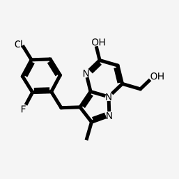 Cc1nn2c(CO)cc(O)nc2c1Cc1ccc(Cl)cc1F